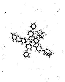 c1ccc(-c2ccc(N3B4c5c(cc(-c6ccccc6)cc5-n5c6ccc(C78CC9CC(CC(C9)C7)C8)cc6c6cc(C78CC9CC(CC(C9)C7)C8)cc4c65)-c4cc5c(cc43)Oc3ccccc3O5)cc2)cc1